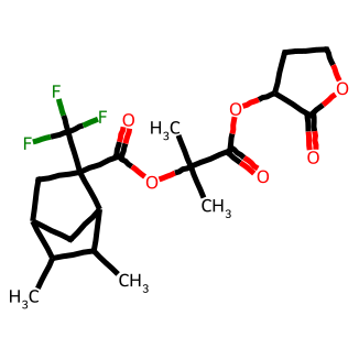 CC1C2CC(C1C)C(C(=O)OC(C)(C)C(=O)OC1CCOC1=O)(C(F)(F)F)C2